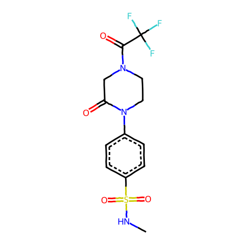 CNS(=O)(=O)c1ccc(N2CCN(C(=O)C(F)(F)F)CC2=O)cc1